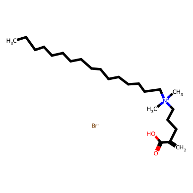 C=C(CCC[N+](C)(C)CCCCCCCCCCCCCCCC)C(=O)O.[Br-]